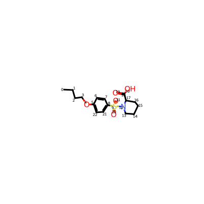 CCCCOc1ccc(S(=O)(=O)N2CCCCC2C(=O)O)cc1